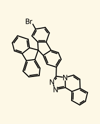 Brc1ccc2c(c1)C1(c3ccccc3-c3ccccc31)c1cc(-c3nnc4c5ccccc5ccn34)ccc1-2